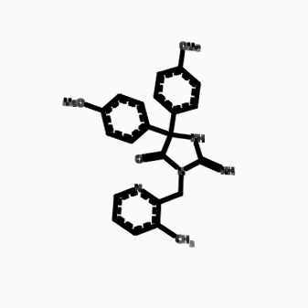 COc1ccc(C2(c3ccc(OC)cc3)NC(=N)N(Cc3ncccc3C)C2=O)cc1